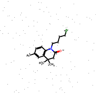 CC(=O)c1ccc2c(c1)C(C)(C)CC(=O)N2CCCCBr